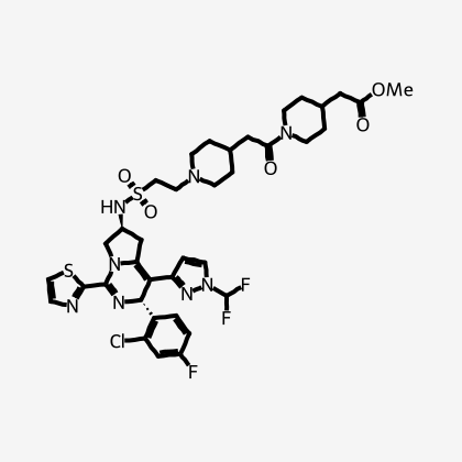 COC(=O)CC1CCN(C(=O)CC2CCN(CCS(=O)(=O)N[C@H]3CC4=C(c5ccn(C(F)F)n5)[C@H](c5ccc(F)cc5Cl)N=C(c5nccs5)N4C3)CC2)CC1